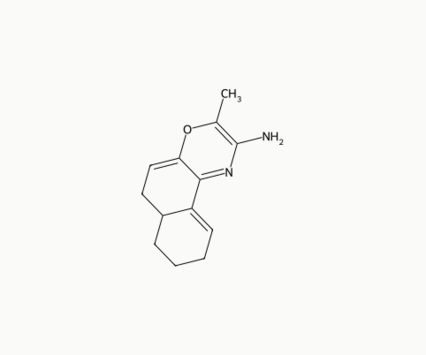 CC1=C(N)N=C2C(=CCC3CCCC=C23)O1